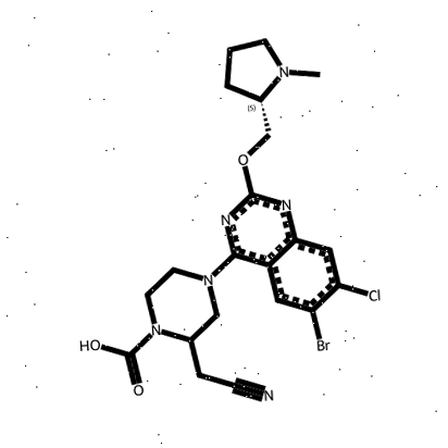 CN1CCC[C@H]1COc1nc(N2CCN(C(=O)O)C(CC#N)C2)c2cc(Br)c(Cl)cc2n1